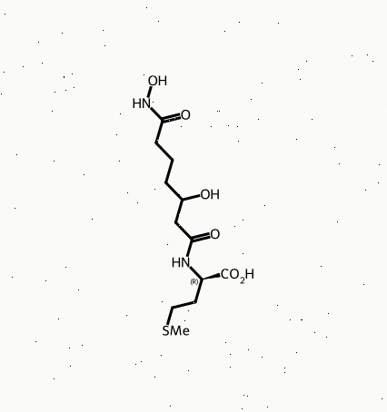 CSCC[C@@H](NC(=O)CC(O)CCCC(=O)NO)C(=O)O